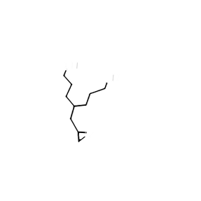 CCCCC(CCCC)CC1CO1